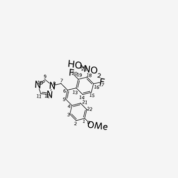 COc1ccc(C=C(Cn2cncn2)c2ccc(F)cc2F)cc1.O=[N+]([O-])O